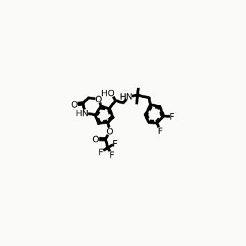 CC(C)(Cc1ccc(F)c(F)c1)NCC(O)c1cc(OC(=O)C(F)(F)F)cc2c1OCC(=O)N2